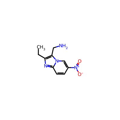 CCc1nc2ccc([N+](=O)[O-])cn2c1CN